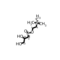 C[N+](C)(C)CCO[PH](=O)CC(O)CO